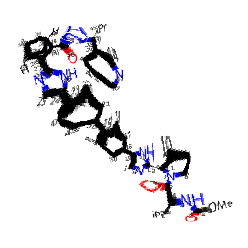 COC(=O)N[C@H](C(=O)N1CCC[C@H]1c1ncc(-c2ccc(-c3ccc(-c4cnc(C5[C@H]6CC[C@H](C6)[C@H]5C(=O)N[C@@H](c5cccnc5)C(C)C)[nH]4)cc3)cc2)[nH]1)C(C)C